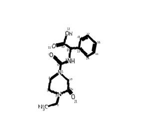 CCN1CCN(C(=O)NC(C(=O)O)c2ccccc2)CC1=O